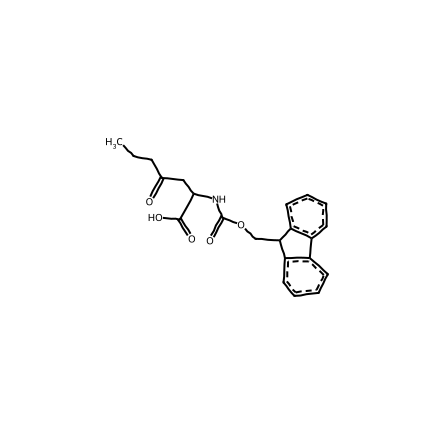 CCCC(=O)CC(NC(=O)OCC1c2ccccc2-c2ccccc21)C(=O)O